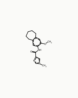 COc1cc2c(cc1NC(=O)c1cn(C)cn1)CCCCC2